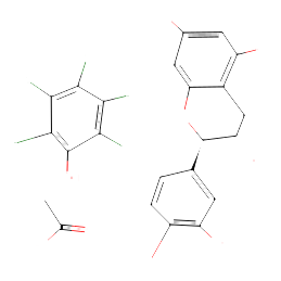 CC(=O)O.Oc1c(Cl)c(Cl)c(Cl)c(Cl)c1Cl.Oc1cc(O)c2c(c1)O[C@H](c1ccc(O)c(O)c1)[C@@H](O)C2